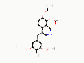 CCOc1ccc2c(Cc3cc(OC)c(C)c(OC)c3)cncc2c1OC(C)=O